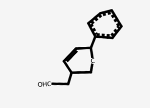 O=CCC1C=CC(c2ccccc2)CC1